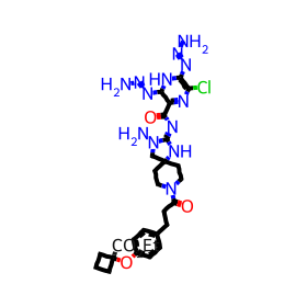 CCOC(=O)C1(Oc2ccc(CCC(=O)N3CCC4(CC3)CN(N)/C(=N\C(=O)C3=NC(Cl)=C(N=NN)NC3N=NN)N4)cc2)CCC1